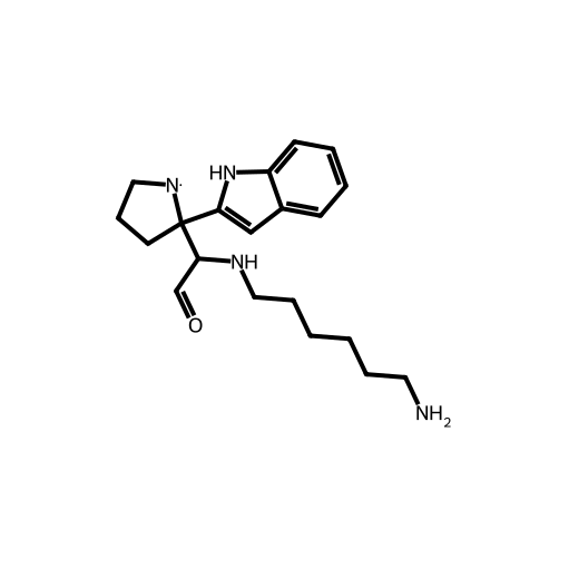 NCCCCCCNC(C=O)C1(c2cc3ccccc3[nH]2)CCC[N]1